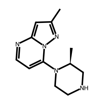 Cc1cc2nccc(N3CCNC[C@@H]3C)n2n1